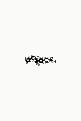 O=C(O)N1CCN(c2ccc(C3(C(=O)N4CCC(c5cccnc5)C4)CC3)c(F)c2)CC1